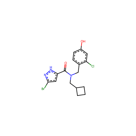 O=C(c1cc(Br)n[nH]1)N(Cc1ccc(O)cc1Cl)CC1CCC1